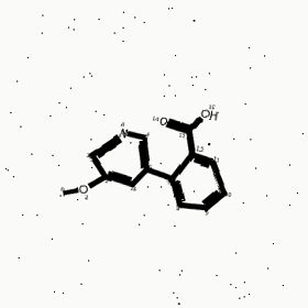 COc1cncc(-c2ccccc2C(=O)O)c1